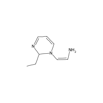 CCC1N=CC=CN1/C=C\N